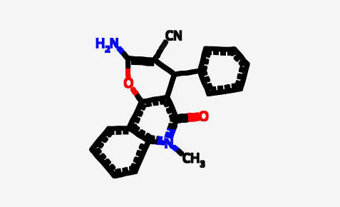 Cn1c(=O)c2c(c3ccccc31)OC(N)=C(C#N)C2c1ccccc1